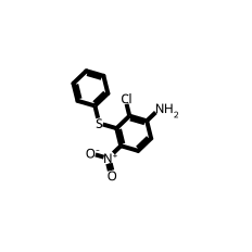 Nc1ccc([N+](=O)[O-])c(Sc2ccccc2)c1Cl